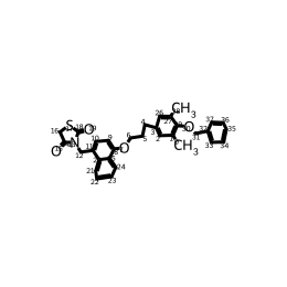 Cc1cc(CCCOc2ccc(CN3C(=O)CSC3=O)c3ccccc23)cc(C)c1OCc1ccccc1